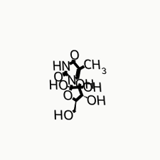 Cc1cn([C@]2(O)O[C@H](CO)[C@@H](O)C2(O)O)c(=O)[nH]c1=O